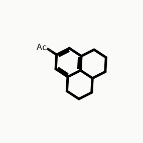 CC(=O)c1cc2c3c(c1)CCCC3CCC2